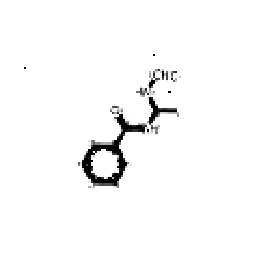 CC(N[C]=O)NC(=O)c1ccccc1